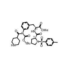 COC(=O)[C@H](Cc1cccc(N(C(=O)OC(C)(C)C)C(=O)C2CCNCC2)c1)NC(=O)[C@@H]1CCCN1S(=O)(=O)c1ccc(C)cc1